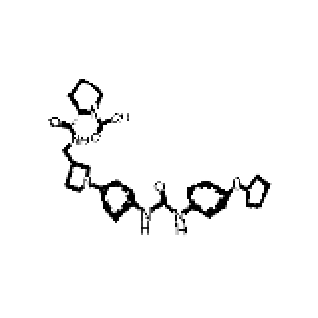 O=C(Nc1ccc(OC2CCCC2)cc1)Nc1ccc(N2CCC(CNC(=O)[C@@H]3CCCN3C(=O)O)C2)cc1